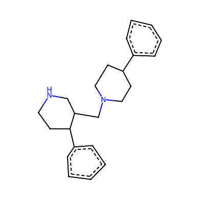 c1ccc(C2CCN(CC3CNCCC3c3ccccc3)CC2)cc1